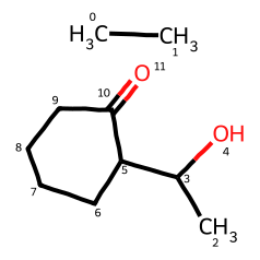 CC.CC(O)C1CCCCC1=O